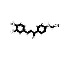 N#CCOc1ccc(C(=O)/C=C/c2ccc(O)c(Br)c2)cc1